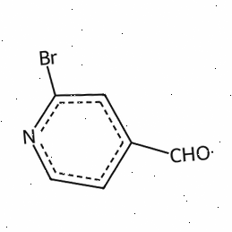 O=[C]c1ccnc(Br)c1